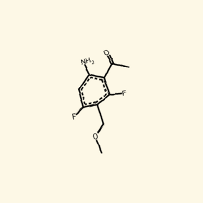 COCc1c(F)cc(N)c(C(C)=O)c1F